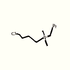 CC(C)C[N+](C)(C)CCCCl